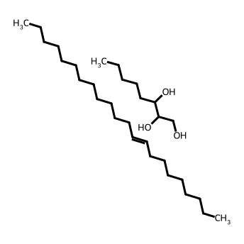 CCCCCC(O)C(O)CO.CCCCCCCCC=CCCCCCCCCCCCC